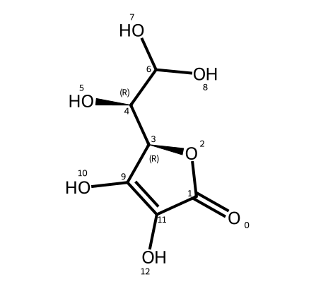 O=C1O[C@H]([C@@H](O)C(O)O)C(O)=C1O